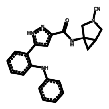 N#CN1CC2C[C@]2(NC(=O)c2cc(-c3ccccc3Nc3ccccc3)[nH]n2)C1